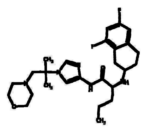 CCCC(NC1CCc2cc(F)cc(F)c2C1)C(=O)Nc1cn(C(C)(C)CN2CCOCC2)cn1